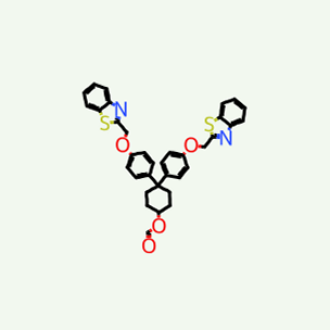 O=COC1CCC(c2ccc(OCc3nc4ccccc4s3)cc2)(c2ccc(OCc3nc4ccccc4s3)cc2)CC1